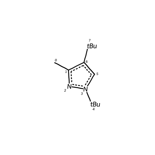 Cc1nn(C(C)(C)C)cc1C(C)(C)C